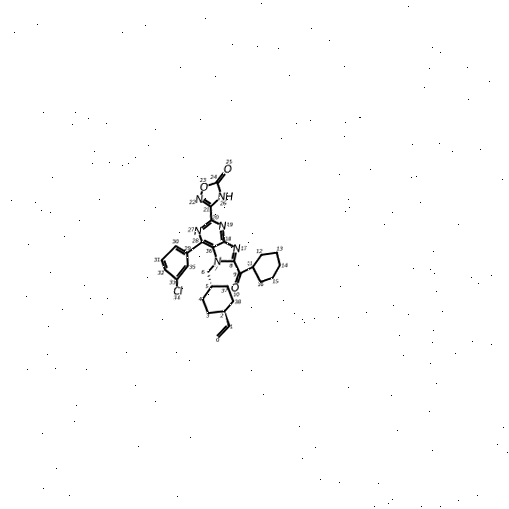 C=C[C@H]1CC[C@H](Cn2c(C(=O)C3CCCCC3)nc3nc(-c4noc(=O)[nH]4)nc(-c4cccc(Cl)c4)c32)CC1